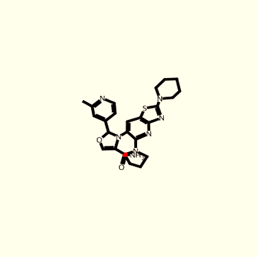 Cc1cc(C2OC=C(C(N)=O)N2c2cc3sc(N4CCCCC4)nc3nc2N2CCCC2)ccn1